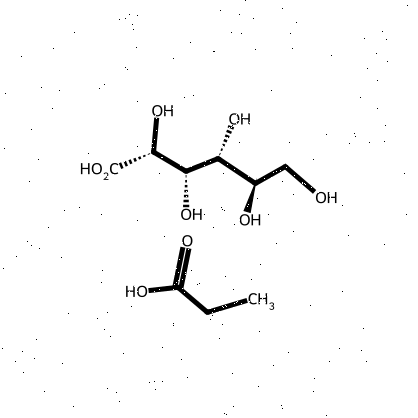 CCC(=O)O.O=C(O)[C@H](O)[C@@H](O)[C@H](O)[C@H](O)CO